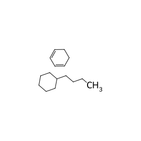 C1=CCCC=C1.CCCCC1CCCCC1